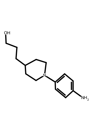 Nc1ccc(N2CCC(CCCO)CC2)cc1